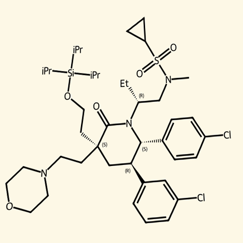 CC[C@H](CN(C)S(=O)(=O)C1CC1)N1C(=O)[C@](CCO[Si](C(C)C)(C(C)C)C(C)C)(CCN2CCOCC2)C[C@H](c2cccc(Cl)c2)[C@H]1c1ccc(Cl)cc1